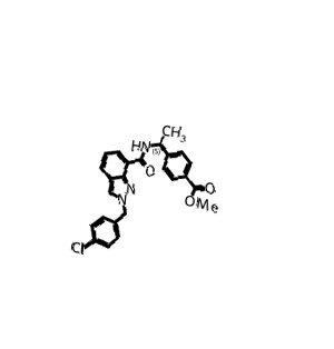 COC(=O)c1ccc([C@H](C)NC(=O)c2cccc3cn(Cc4ccc(Cl)cc4)nc23)cc1